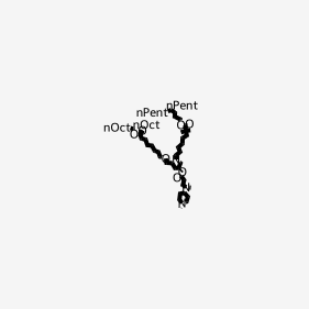 CCCCCCCCC(CCCCCCCC)OC(=O)CCCCCCCOCC1C[C@H](OC(=O)CCN(C)C2CCN(C)CC2)CN1CCCCCCC(C)(C)C(=O)OCCCC(CCCCC)CCCCC